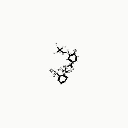 NS(=O)(=O)c1ccccc1S(=O)(=O)NC(=O)c1ccc(Br)c(OCC(F)(F)F)c1